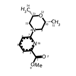 COC(=O)c1cccc(N2C[C@@H](C)O[C@@H](C)C2)n1